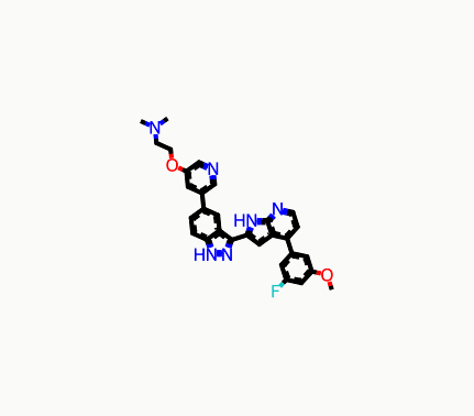 COc1cc(F)cc(-c2ccnc3[nH]c(-c4n[nH]c5ccc(-c6cncc(OCCN(C)C)c6)cc45)cc23)c1